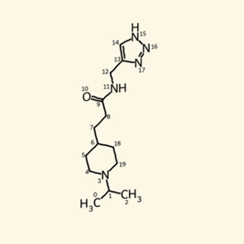 CC(C)N1CCC(CCC(=O)NCc2c[nH]nn2)CC1